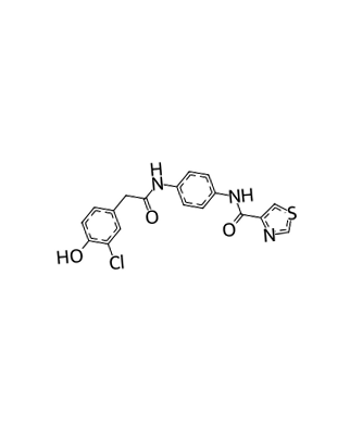 O=C(Cc1ccc(O)c(Cl)c1)Nc1ccc(NC(=O)c2cscn2)cc1